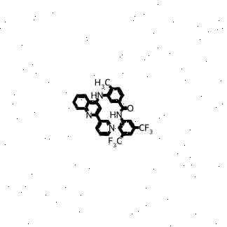 Cc1ccc(C(=O)Nc2cc(C(F)(F)F)cc(C(F)(F)F)c2)cc1Nc1cc(-c2cccnc2)nc2c1C=CCC2